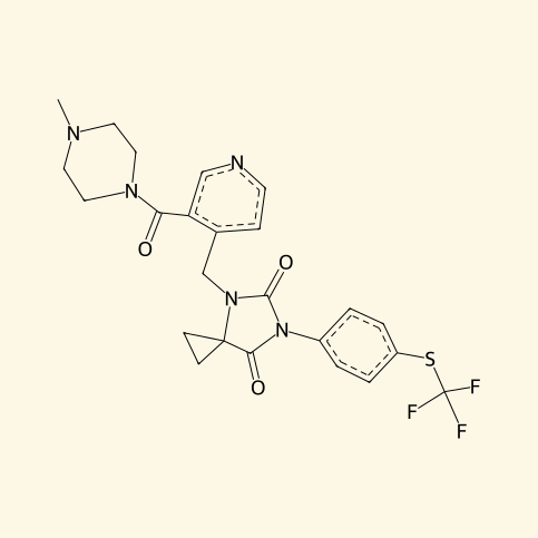 CN1CCN(C(=O)c2cnccc2CN2C(=O)N(c3ccc(SC(F)(F)F)cc3)C(=O)C23CC3)CC1